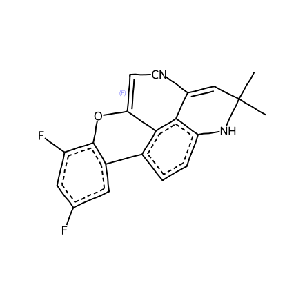 CC1=CC(C)(C)Nc2ccc3c(c21)/C(=C\C#N)Oc1c(F)cc(F)cc1-3